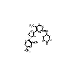 Cc1ccc(-n2cnc(-c3nc(NC4CCNCC4)ncc3C(F)(F)F)c2)c(C#N)n1